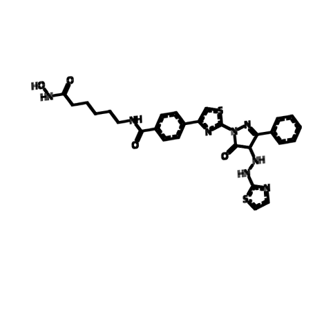 O=C(CCCCCNC(=O)c1ccc(-c2csc(N3N=C(c4ccccc4)C(NNc4nccs4)C3=O)n2)cc1)NO